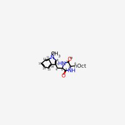 CCCCCCCCC1NC(=O)C(Cc2cn(C)c3ccccc23)NC1=O